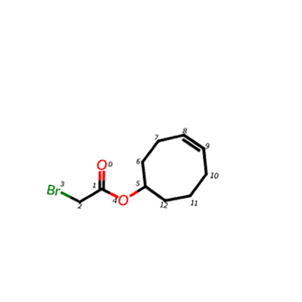 O=C(CBr)OC1CCC=CCCC1